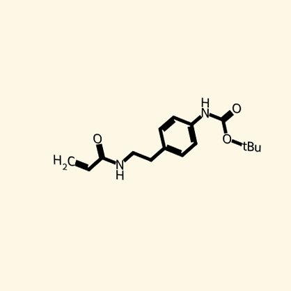 C=CC(=O)NCCc1ccc(NC(=O)OC(C)(C)C)cc1